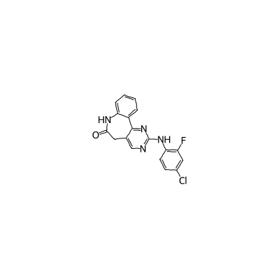 O=C1Cc2cnc(Nc3ccc(Cl)cc3F)nc2-c2ccccc2N1